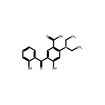 CCN(CC)c1cc(O)c(C(=O)c2ccccc2O)cc1C(=O)O